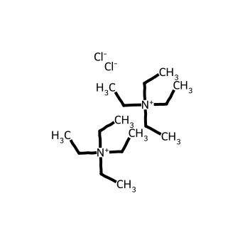 CC[N+](CC)(CC)CC.CC[N+](CC)(CC)CC.[Cl-].[Cl-]